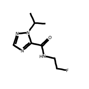 CC(C)n1ncnc1C(=O)NCCF